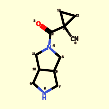 N#CC1(C(=O)N2CC3CNCC3C2)CC1